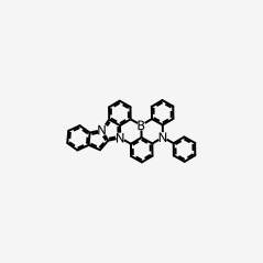 c1ccc(N2c3ccccc3B3c4c2cccc4-n2c4c3cccc4n3c4ccccc4cc23)cc1